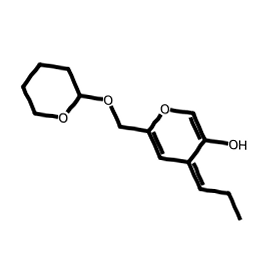 CC/C=C1/C=C(COC2CCCCO2)OC=C1O